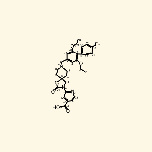 CCOc1cc(CN2CCC3(CC2)CN(c2cc(C(=O)O)ccn2)C(=O)O3)cc(OCC)c1-c1ccc(F)cc1